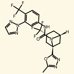 Cc1nnc([C@@]23C[C@@H](C[C@@H](C(F)(F)F)C2)N3C(=O)Nc2ccc(C(F)(F)F)c(-n3nccn3)c2)o1